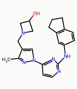 Cc1nn(-c2ccnc(Nc3ccc4c(c3)CCC4)n2)cc1CN1CC(O)C1